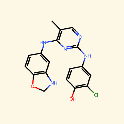 Cc1cnc(Nc2ccc(O)c(Cl)c2)nc1Nc1ccc2c(c1)NCO2